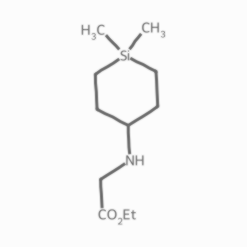 CCOC(=O)CNC1CC[Si](C)(C)CC1